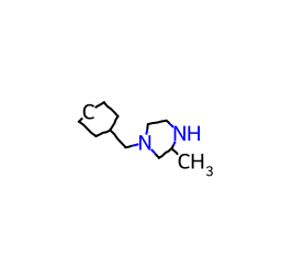 CC1CN(CC2CCCCC2)CCN1